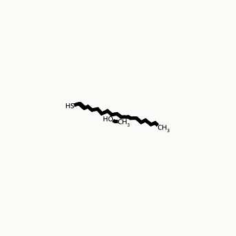 CCCCCCCCCCCCCCCC/C=C/S.CCO